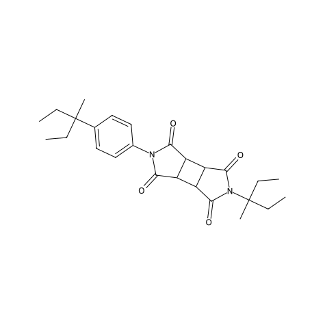 CCC(C)(CC)c1ccc(N2C(=O)C3C(C2=O)C2C(=O)N(C(C)(CC)CC)C(=O)C32)cc1